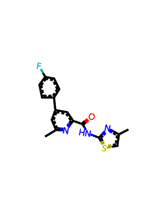 Cc1cc(-c2ccc(F)cc2)cc(C(=O)Nc2nc(C)cs2)n1